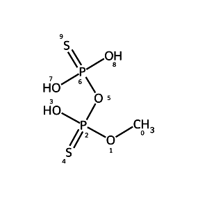 COP(O)(=S)OP(O)(O)=S